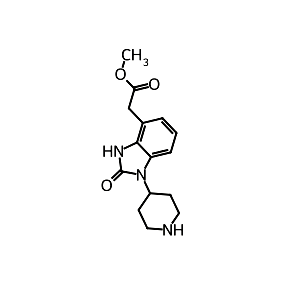 COC(=O)Cc1cccc2c1[nH]c(=O)n2C1CCNCC1